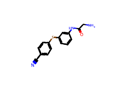 N#Cc1ccc(Sc2cccc(NC(=O)CN)c2)cc1